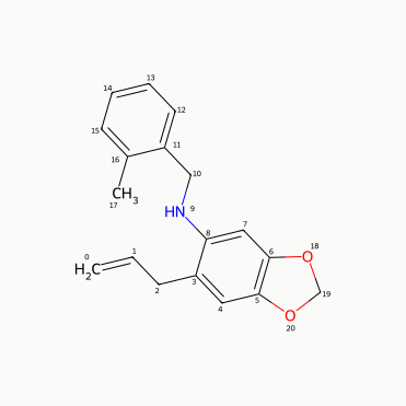 C=CCc1cc2c(cc1NCc1ccccc1C)OCO2